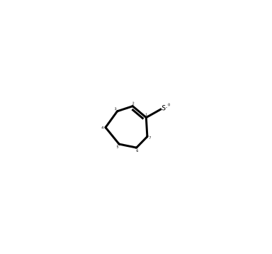 [S]C1=CCCCCC1